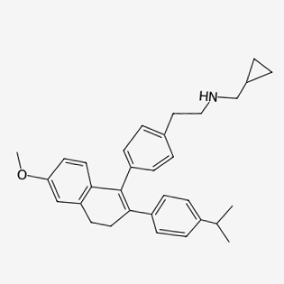 COc1ccc2c(c1)CCC(c1ccc(C(C)C)cc1)=C2c1ccc(CCNCC2CC2)cc1